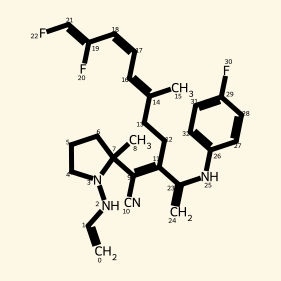 C=CNN1CCCC1(C)/C(C#N)=C(\CC/C(C)=C/C=C\C(F)=C\F)C(=C)Nc1ccc(F)cc1